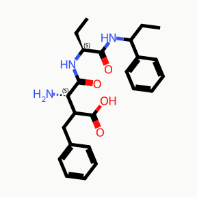 CCC(NC(=O)[C@H](CC)NC(=O)[C@@H](N)C(Cc1ccccc1)C(=O)O)c1ccccc1